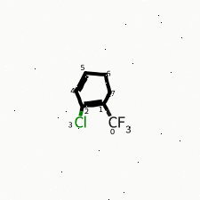 FC(F)(F)C1=C(Cl)C=CC[CH]1